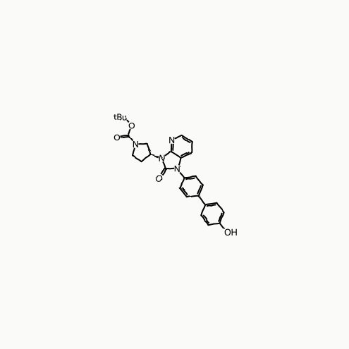 CC(C)(C)OC(=O)N1CC[C@H](n2c(=O)n(-c3ccc(-c4ccc(O)cc4)cc3)c3cccnc32)C1